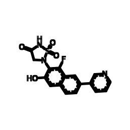 O=C1CN(c2c(O)cc3ccc(-c4cccnc4)cc3c2F)S(=O)(=O)N1